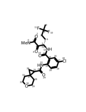 CNC(=O)C(=O)[C@H](CCC(C)(F)F)NC(=O)c1cc(Cl)ccc1NC(=O)C1CC12CCOCC2